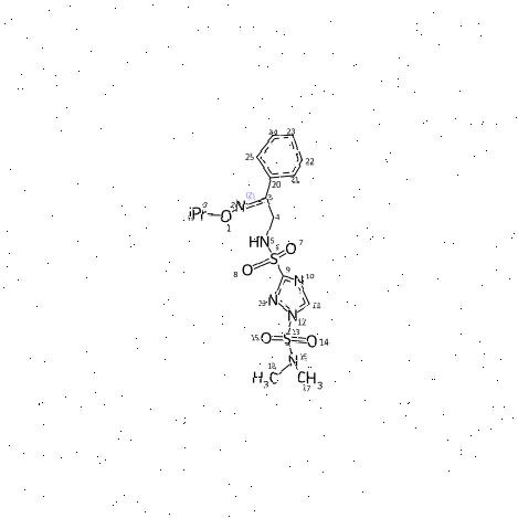 CC(C)O/N=C(\CNS(=O)(=O)c1ncn(S(=O)(=O)N(C)C)n1)c1ccccc1